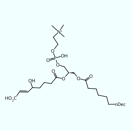 CCCCCCCCCCCCCCCC(=O)OC[C@H](COP(=O)(O)OCC[N+](C)(C)C)OC(=O)CCCC(O)C=CC(=O)O